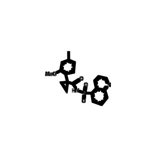 COc1cc(C)ccc1C1(C(=O)NS(=O)(=O)c2cccc3ncccc23)CC1